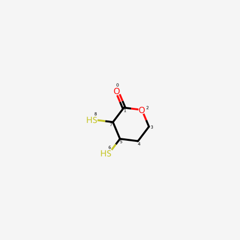 O=C1OCCC(S)C1S